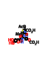 CO[C@@]1(NC(=O)C(NC(=O)c2cc3cc(O)c(O)cc3oc2=O)c2ccc(OCC(=O)O)cc2)C(=O)N2C(C(=O)O)=C(COC(C)=O)CS[C@H]21